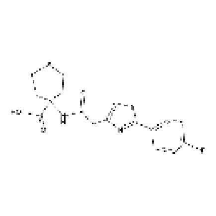 O=C(Cc1csc(-c2ccc(F)cc2)n1)NC1(C(=O)O)CCSCC1